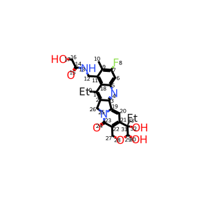 CCc1c2c(nc3cc(F)c(C)c(CNC(=O)CO)c13)-c1cc3c(c(=O)n1C2)COC(O)[C@]3(O)CC